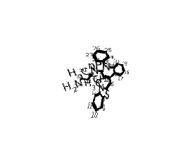 CCCN(c1cc(/C=C2/Sc3ccccc3N2C)c2ccccc2[n+]1-c1ccccc1)C(C)(C)CCN